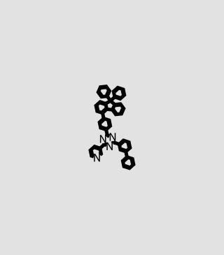 c1ccc(-c2cccc(-c3nc(-c4ccc(-c5cccc6c5-c5ccccc5C6(c5ccccc5)c5ccccc5)cc4)nc(-c4cccnc4)n3)c2)cc1